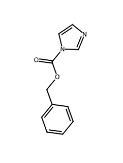 O=C(OCc1ccccc1)n1ccnc1